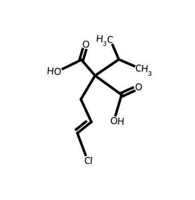 CC(C)C(CC=CCl)(C(=O)O)C(=O)O